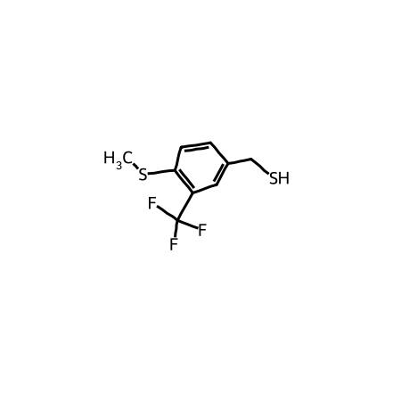 CSc1ccc(CS)cc1C(F)(F)F